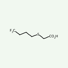 O=C(O)CSCCCC(F)(F)F